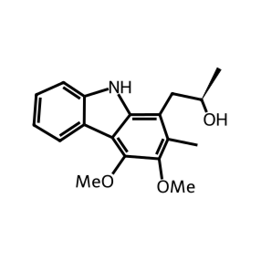 COc1c(C)c(C[C@@H](C)O)c2[nH]c3ccccc3c2c1OC